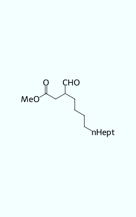 CCCCCCCCCCCC(C=O)CC(=O)OC